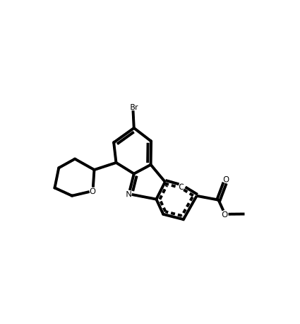 COC(=O)c1ccc2c(c1)C1=CC(Br)=CC(C3CCCCO3)C1=N2